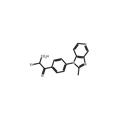 CCC(C(=O)O)C(=O)c1ccc(-n2c(C)nc3cnccc32)cc1